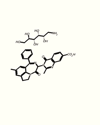 Cc1cc2c3c(c1)C(c1ccccc1)=NC(n1c(C)nc4cc(C(=O)O)ccc4c1=O)C(=O)N3CC2.NC[C@H](O)[C@@H](O)[C@H](O)[C@H](O)CO